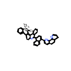 C[Si]1(C)c2ccccc2-c2ccc3nc(-c4ccc(-c5ccc6ccc7cccnc7c6n5)c5ccccc45)c4ccccc4c3c21